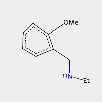 [CH2]CNCc1ccccc1OC